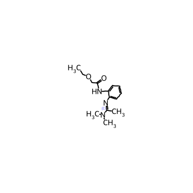 CCOCC(=O)Nc1ccccc1/N=C(\C)N(C)C